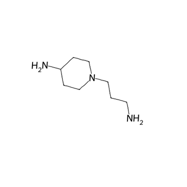 NCCCN1CCC(N)CC1